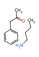 CC(=O)Cc1ccccc1.CCCCN